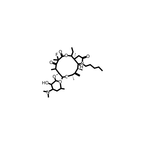 C=C1[C@H](C)CC(C)[C@H](OC2OC(C)CC(N(C)C)C2O)C(C)C(=O)C(C)(F)C(=O)OC(CC)[C@@]2(C)CC(=O)N(CCCCC)[C@@H]2[C@H]1C